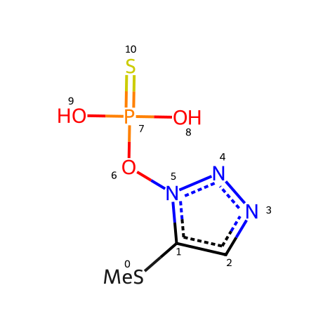 CSc1cnnn1OP(O)(O)=S